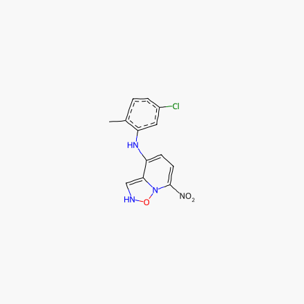 Cc1ccc(Cl)cc1NC1=CC=C([N+](=O)[O-])N2ONC=C12